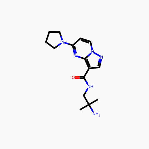 CC(C)(N)CNC(=O)c1cnn2ccc(N3CCCC3)nc12